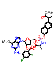 COC(=O)C(C)c1ccc2cc(OP(=O)(N[C@@H](C)C(=O)OCc3ccc(F)cc3F)OC[C@H]3OC(n4cnc5c(OC)nc(N)nc54)[C@](C)(O)[C@@H]3O)ccc2c1